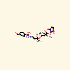 CC(C)(CCNC(=O)c1ccc(C=O)cc1)OCCC(C)(C)C(=O)ON1C(=O)CCC1=O